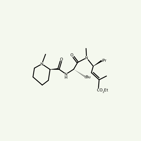 CCOC(=O)/C(C)=C/[C@H](C(C)C)N(C)C(=O)[C@@H](NC(=O)[C@H]1CCCCN1C)C(C)(C)C